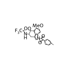 COc1ccc2c3c(cn2S(=O)(=O)c2ccc(C)cc2)CC(NC(=O)C(F)(F)F)C(=O)c13